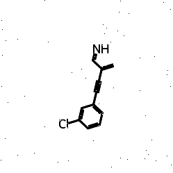 C=C(C#Cc1cccc(Cl)c1)C=N